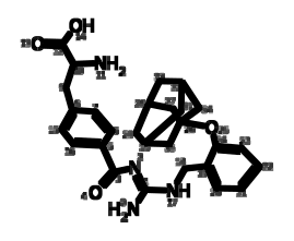 NC(=NC(=O)c1ccc(CC(N)C(=O)O)cc1)NCc1ccccc1OC12CC3CC(CC(C3)C1)C2